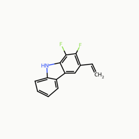 C=Cc1cc2c([nH]c3ccccc32)c(F)c1F